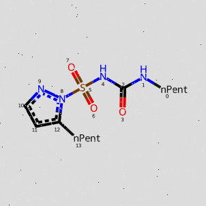 CCCCCNC(=O)NS(=O)(=O)n1nccc1CCCCC